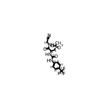 CS(=O)(=O)CC(NC(=O)Nc1ccc(C(F)(F)F)cc1)C(=O)NCC#N